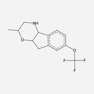 CC1CNC2c3ccc(OC(F)(F)F)cc3CC2O1